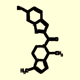 Cc1ccc2n1CCN(C(=O)c1cc3ccc(Br)cn3n1)C2C